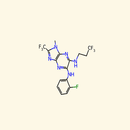 Cn1c(C(F)(F)F)nc2nc(Nc3ccccc3F)c(NCCC(F)(F)F)nc21